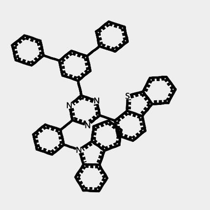 c1ccc(-c2cc(-c3ccccc3)cc(-c3nc(-c4ccccc4-n4c5ccccc5c5ccccc54)nc(-c4cccc5c4sc4ccccc45)n3)c2)cc1